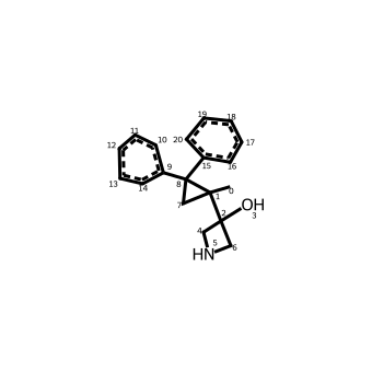 CC1(C2(O)CNC2)CC1(c1ccccc1)c1ccccc1